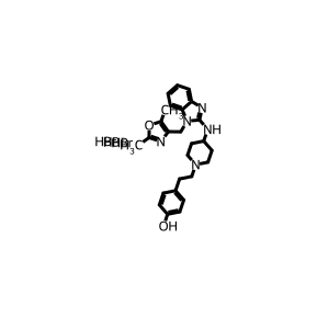 Br.Br.Br.Cc1nc(Cn2c(NC3CCN(CCc4ccc(O)cc4)CC3)nc3ccccc32)c(C)o1